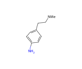 [CH2]NCCc1ccc(N)cc1